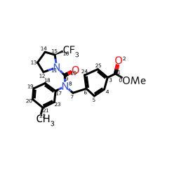 COC(=O)c1ccc(CN(C(=O)N2CCC[C@H]2C(F)(F)F)c2cccc(C)c2)cc1